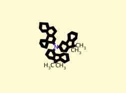 CC1(C)c2ccccc2-c2cc(N(c3cccc4c3-c3ccccc3C4(C)C)c3cc4ccc5ccccc5c4c4ccccc34)ccc21